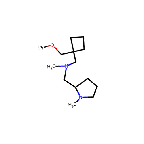 CC(C)OCC1(CN(C)CC2CCCN2C)CCC1